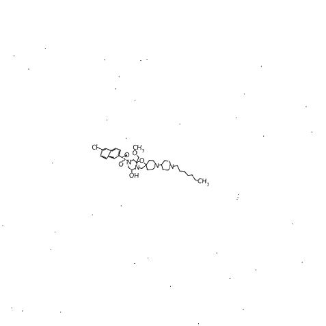 CCCCCCCN1CCC(N2CCC3(CC2)CN2C(O)CN(S(=O)(=O)c4ccc5cc(Cl)ccc5c4)CC2(COC)O3)CC1